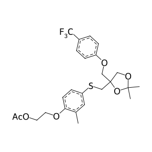 CC(=O)OCCOc1ccc(SCC2(COc3ccc(C(F)(F)F)cc3)COC(C)(C)O2)cc1C